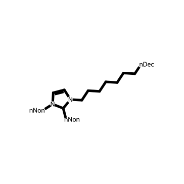 CCCCCCCCCCCCCCCCCN1C=CN(CCCCCCCCC)C1CCCCCCCCC